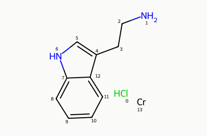 Cl.NCCc1c[nH]c2ccccc12.[Cr]